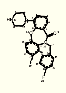 O=C1c2cccc(N3CCNCC3)c2Oc2ccc(F)cc2N1Cc1ccc(F)cc1